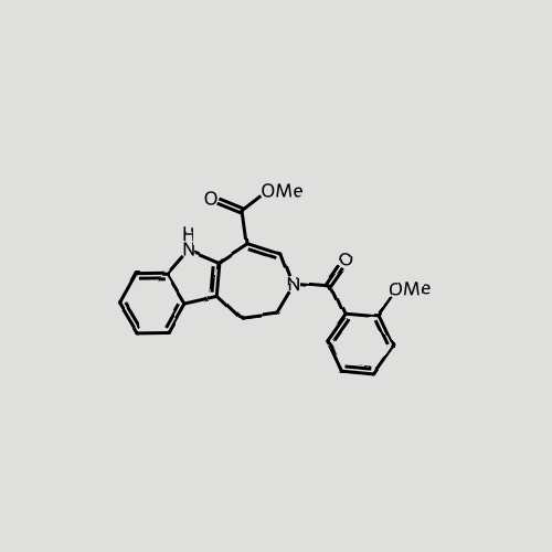 COC(=O)C1=CN(C(=O)c2ccccc2OC)CCc2c1[nH]c1ccccc21